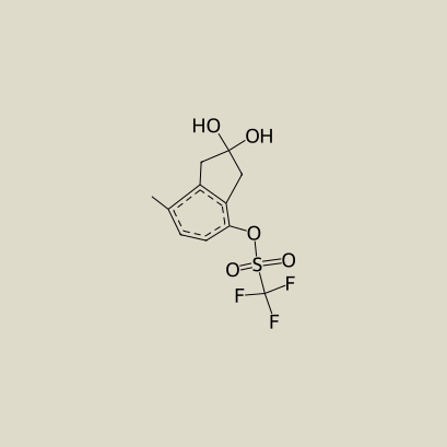 Cc1ccc(OS(=O)(=O)C(F)(F)F)c2c1CC(O)(O)C2